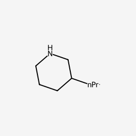 CC[CH]C1CCCNC1